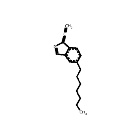 C=C=C1N=Cc2cc(CCCCCCC)ccc21